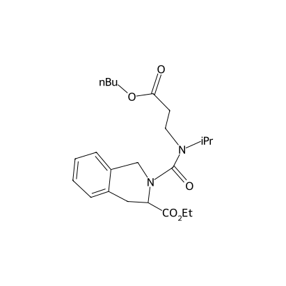 CCCCOC(=O)CCN(C(=O)N1Cc2ccccc2CC1C(=O)OCC)C(C)C